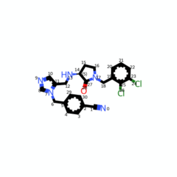 N#Cc1ccc(Cn2cncc2CN[C@H]2CCN(Cc3cccc(Cl)c3Cl)C2=O)cc1